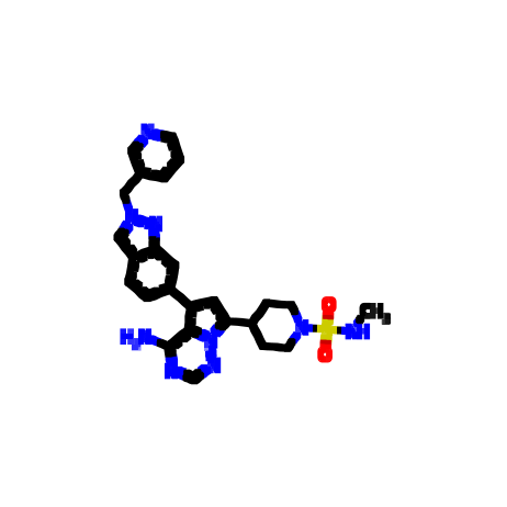 CNS(=O)(=O)N1CCC(c2cc(-c3ccc4cn(Cc5cccnc5)nc4c3)c3c(N)ncnn23)CC1